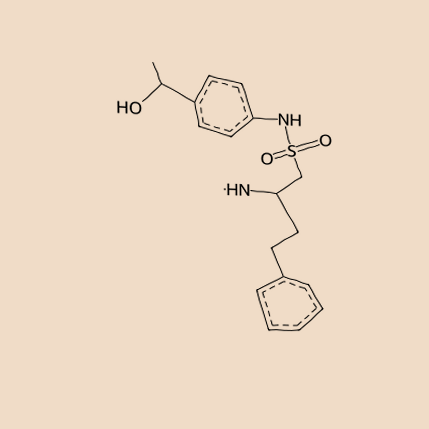 CC(O)c1ccc(NS(=O)(=O)CC([NH])CCc2ccccc2)cc1